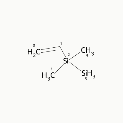 C=C[Si](C)(C)[SiH3]